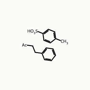 CC(=O)CCc1ccccc1.Cc1ccc(S(=O)(=O)O)cc1